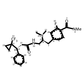 CNC(=O)c1ccc(C[C@@H](CNC(=O)C[C@H](c2ccccc2)C2(C(F)(F)F)CC2)N(C)C)cc1F